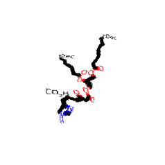 CCCCCCCCCCCCCCCC(=O)OCC(COC(=O)CC(=O)CC(Cc1c[nH]cn1)C(=O)O)OC(=O)CCCCCCCCCCCCCCC